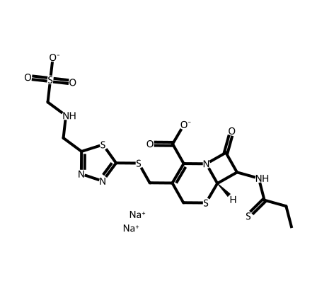 CCC(=S)NC1C(=O)N2C(C(=O)[O-])=C(CSc3nnc(CNCS(=O)(=O)[O-])s3)CS[C@@H]12.[Na+].[Na+]